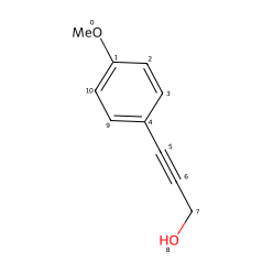 COc1ccc(C#CCO)cc1